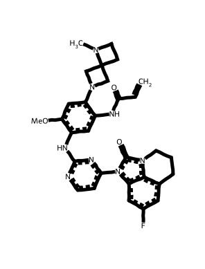 C=CC(=O)Nc1cc(Nc2nccc(-n3c(=O)n4c5c(cc(F)cc53)CCC4)n2)c(OC)cc1N1CC2(CCN2C)C1